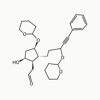 O=CC[C@@H]1[C@@H](CCC(C#Cc2ccccc2)OC2CCCCO2)[C@H](OC2CCCCO2)C[C@@H]1O